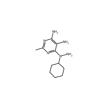 Cc1nc(N)c(N)c(N(N)C2CCCCC2)n1